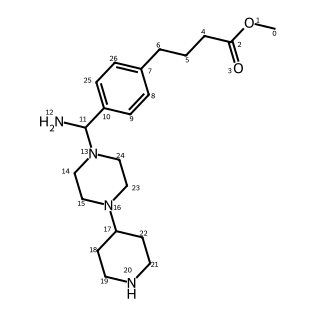 COC(=O)CCCc1ccc(C(N)N2CCN(C3CCNCC3)CC2)cc1